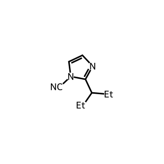 CCC(CC)c1nccn1C#N